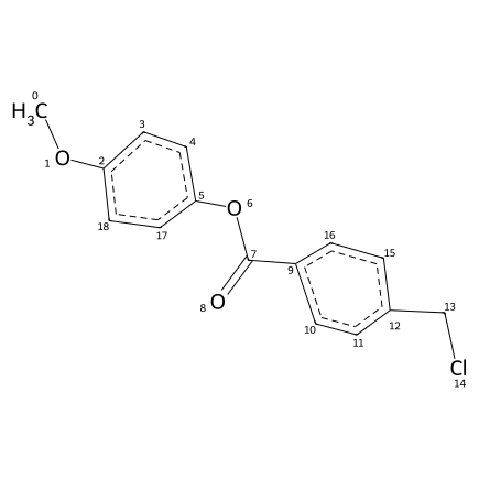 COc1ccc(OC(=O)c2ccc(CCl)cc2)cc1